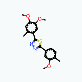 COc1cc(-c2nnc(-c3cc(OC)c(OC)cc3C)s2)ccc1C